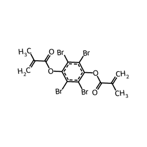 C=C(C)C(=O)Oc1c(Br)c(Br)c(OC(=O)C(=C)C)c(Br)c1Br